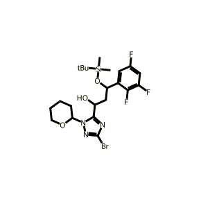 CC(C)(C)[Si](C)(C)OC(CC(O)c1nc(Br)nn1C1CCCCO1)c1cc(F)cc(F)c1F